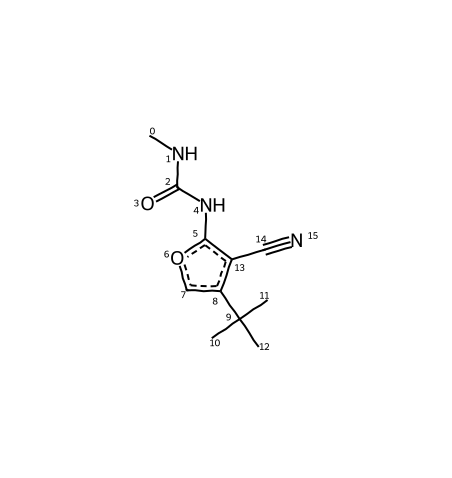 CNC(=O)Nc1occ(C(C)(C)C)c1C#N